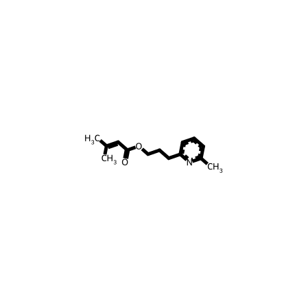 CC(C)=CC(=O)OCCCc1cccc(C)n1